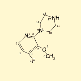 COc1c(F)ccnc1N1CCNCC1